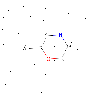 CC(=O)C1C[N]CCO1